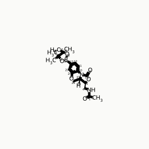 CC(=O)NC[C@@H]1OC(=O)N2c3ccc(B4OC(C)(C)C(C)(C)O4)cc3OC[C@@H]12